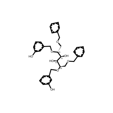 Oc1cccc(CO[C@H](COCc2ccccc2)[C@@H](O)[C@H](O)[C@@H](COCc2ccccc2)OCc2cccc(O)c2)c1